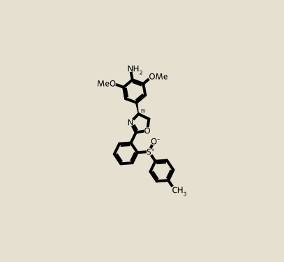 COc1cc([C@H]2COC(c3ccccc3[S+]([O-])c3ccc(C)cc3)=N2)cc(OC)c1N